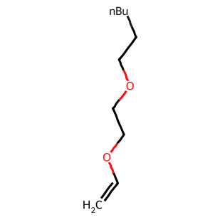 C=COCCOCCCCCC